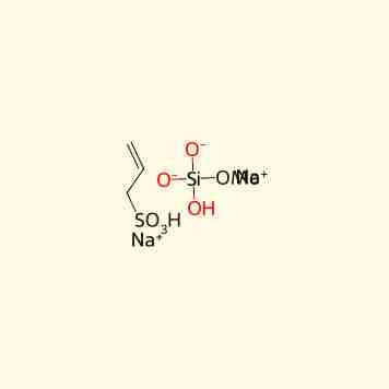 C=CCS(=O)(=O)O.CO[Si]([O-])([O-])O.[Na+].[Na+]